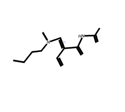 C=C/C(=C\N(C)CCCC)C(=C)NC(=C)C